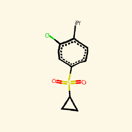 CC(C)c1ccc(S(=O)(=O)C2CC2)cc1Cl